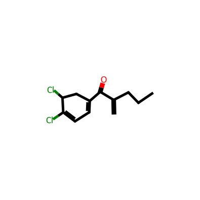 C=C(CCC)C(=O)C1=CC=C(Cl)C(Cl)C1